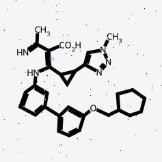 CC(=N)/C(C(=O)O)=C(\Nc1cccc(-c2cccc(OCC3CCCCC3)c2)c1)C1CC1c1cn(C)nn1